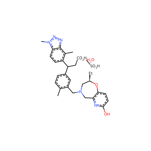 CC[C@@H]1CN(Cc2cc(C(CC(=O)O)c3ccc4c(nnn4C)c3C)ccc2C)Cc2nc(O)ccc2O1.CS(=O)(=O)O.O